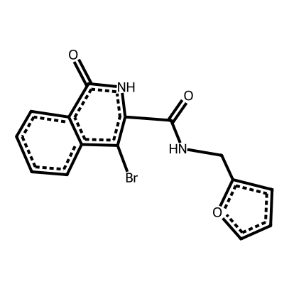 O=C(NCc1ccco1)c1[nH]c(=O)c2ccccc2c1Br